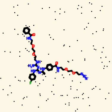 C=C(/N=C(\N=C(/N)NCCOCCOCCNC(=O)c1ccccc1)Nc1ccc(F)cc1)Nc1ccc(C(=O)NCCOCCOCCN=[N+]=[N-])cc1